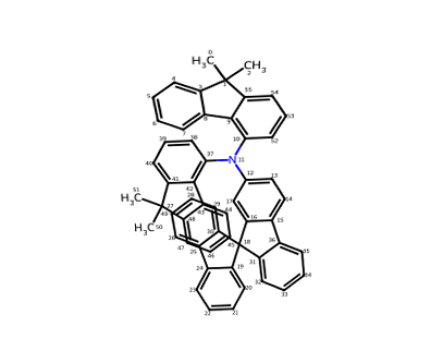 CC1(C)c2ccccc2-c2c(N(c3ccc4c(c3)C3(c5ccccc5-c5ccccc53)c3ccccc3-4)c3cccc4c3-c3ccccc3C4(C)C)cccc21